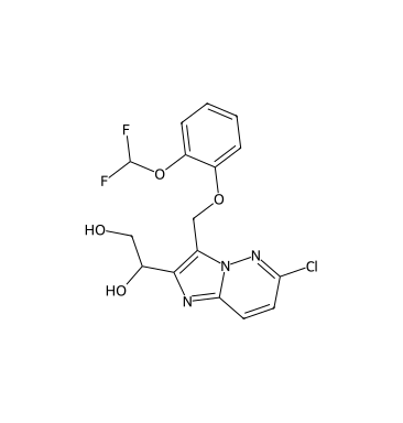 OCC(O)c1nc2ccc(Cl)nn2c1COc1ccccc1OC(F)F